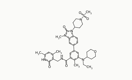 CCN(c1cc(-c2ccc3c(c2)n(C)c(=O)n3C2CCN(S(C)(=O)=O)CC2)cc(C(=O)NCc2c(C)cc(C)[nH]c2=O)c1C)C1CCOCC1